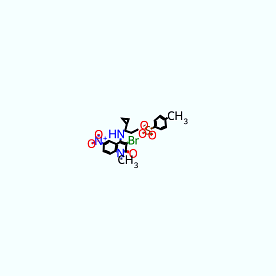 Cc1ccc(S(=O)(=O)OCCC(Nc2c(Br)c(=O)n(C)c3ccc([N+](=O)[O-])cc23)C2CC2)cc1